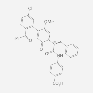 COc1cn([C@@H](Cc2ccccc2)C(=O)Nc2ccc(C(=O)O)cc2)c(=O)cc1-c1cc(Cl)ccc1C(=O)C(C)C